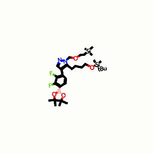 CC1(C)OB(c2ccc(-c3cnn(COCC[Si](C)(C)C)c3CCCCO[Si](C)(C)C(C)(C)C)c(F)c2F)OC1(C)C